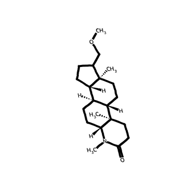 COCC1CC[C@H]2[C@@H]3CC[C@H]4N(C)C(=O)CC[C@]4(C)[C@H]3CC[C@]12C